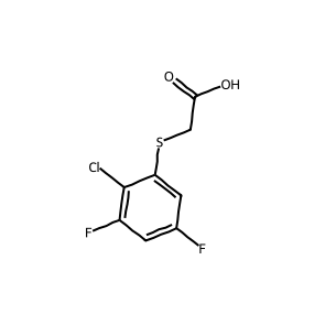 O=C(O)CSc1cc(F)cc(F)c1Cl